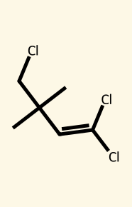 CC(C)(C=C(Cl)Cl)CCl